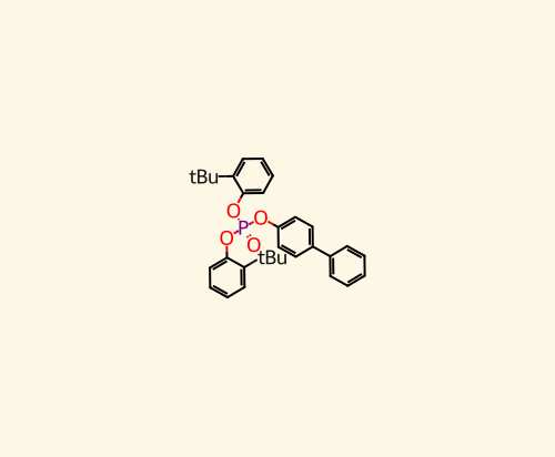 CC(C)(C)c1ccccc1OP(=O)(Oc1ccc(-c2ccccc2)cc1)Oc1ccccc1C(C)(C)C